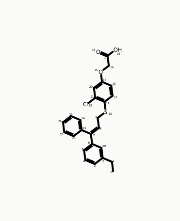 CCc1cccc(C(=CCSc2ccc(OCC(=O)O)cc2Cl)c2ccccc2)c1